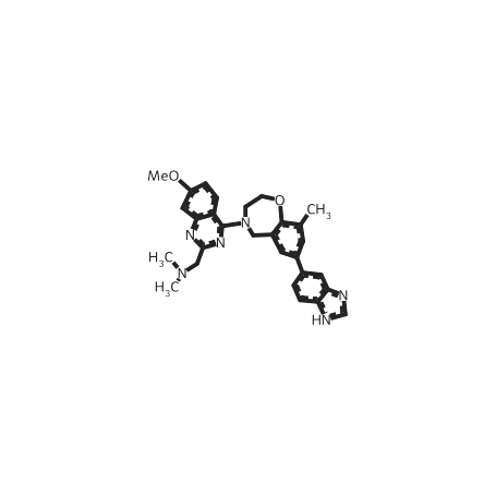 COc1ccc2c(N3CCOc4c(C)cc(-c5ccc6[nH]cnc6c5)cc4C3)nc(CN(C)C)nc2c1